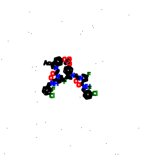 CC(=O)c1cn(CC(=O)N2C[C@H](F)C[C@H]2C(=O)NCc2cccc(Cl)c2F)c2cc(OP(C)(=O)Oc3ccc4c(C(C)=O)cn(CC(=O)N5C[C@H](F)C[C@H]5C(=O)NCc5cccc(Cl)c5F)c4c3)ccc12